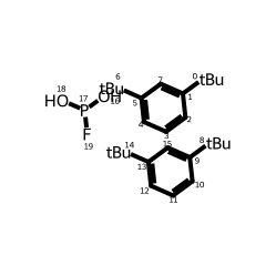 CC(C)(C)c1cccc(C(C)(C)C)c1.CC(C)(C)c1cccc(C(C)(C)C)c1.OP(O)F